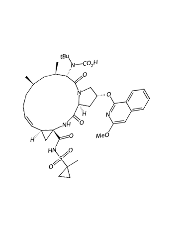 COc1cc2ccccc2c(O[C@@H]2C[C@H]3C(=O)N[C@]4(C(=O)NS(=O)(=O)C5(C)CC5)C[C@H]4/C=C\CC[C@@H](C)C[C@@H](C)[C@H](N(C(=O)O)C(C)(C)C)C(=O)N3C2)n1